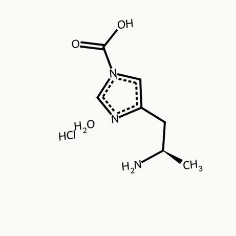 C[C@@H](N)Cc1cn(C(=O)O)cn1.Cl.O